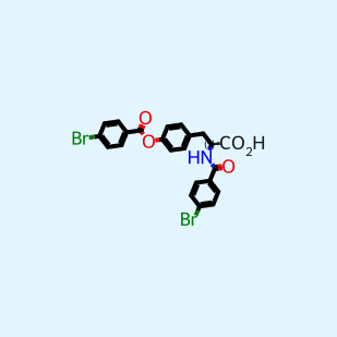 O=C(N[C@@H](Cc1ccc(OC(=O)c2ccc(Br)cc2)cc1)C(=O)O)c1ccc(Br)cc1